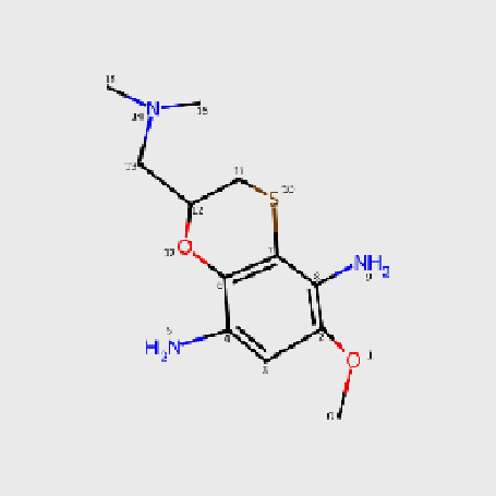 COc1cc(N)c2c(c1N)SCC(CN(C)C)O2